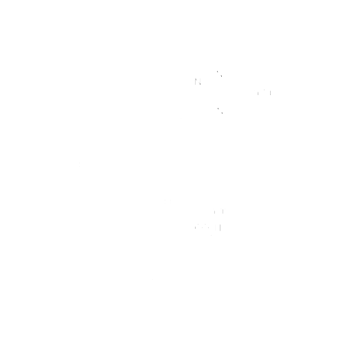 CCCCc1nnc(SCc2ccc(Cl)cc2)n1Cc1ccc(OC(C(=O)O)c2ccccc2)c(CCC)c1